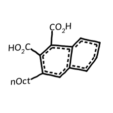 CCCCCCCCc1cc2ccccc2c(C(=O)O)c1C(=O)O